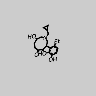 CCc1ccc(O)c2c1C1CN(CC3CC3)CC(O)CCC(=O)[C@@H]1O2